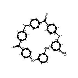 Nc1cccc(Oc2ccc(C(=O)c3ccc(Oc4ccc(C(=O)c5ccc(Oc6cccc(N)c6)cc5)cc4)cc3)cc2)c1